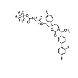 C[C@@H](c1ccc(-c2ccc(F)cc2F)cc1)N1CC[C@@](CCNC(=O)CNC(=O)OC(C)(C)C)(c2ccc(F)cc2)OC1=O